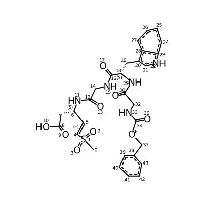 CS(=O)(=O)/C=C/[C@H](CC(=O)O)NC(=O)CNC(=O)[C@H](Cc1c[nH]c2ccccc12)NC(=O)CNC(=O)OCc1ccccc1